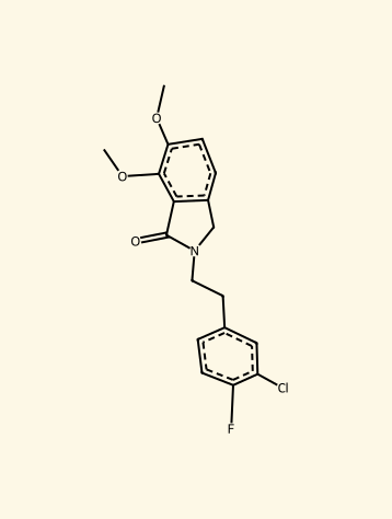 COc1ccc2c(c1OC)C(=O)N(CCc1ccc(F)c(Cl)c1)C2